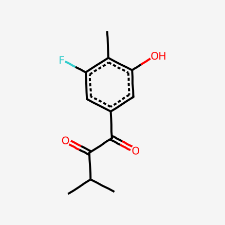 Cc1c(O)cc(C(=O)C(=O)C(C)C)cc1F